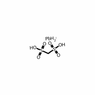 O=S(=O)(O)CS(=O)(=O)O.[PbH2]